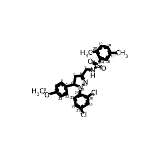 COc1ccc(C2CC(CNS(=O)(=O)c3cc(C)ccc3C)=NN2c2ccc(Cl)cc2Cl)cc1